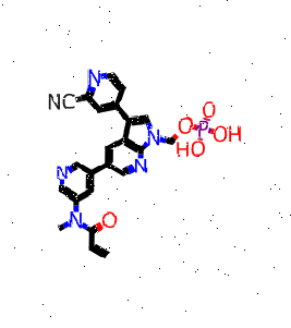 C=CC(=O)N(C)c1cncc(-c2cnc3c(c2)c(-c2ccnc(C#N)c2)cn3COP(=O)(O)O)c1